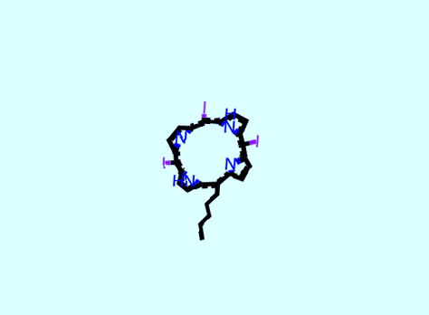 CCCCCc1c2nc(c(I)c3ccc([nH]3)c(I)c3nc(c(I)c4ccc1[nH]4)C=C3)C=C2